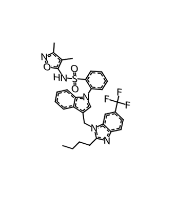 CCCCc1nc2ccc(C(F)(F)F)cc2n1Cc1cn(-c2ccccc2S(=O)(=O)Nc2onc(C)c2C)c2ccccc12